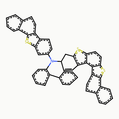 C1=CC(N(c2ccc3c(c2)sc2c4ccccc4ccc32)c2ccccc2-c2ccccc2)Cc2sc3ccc4sc5c6ccccc6ccc5c4c3c21